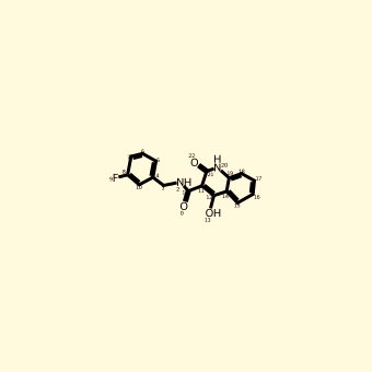 O=C(NCc1cccc(F)c1)c1c(O)c2ccccc2[nH]c1=O